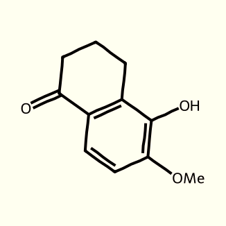 COc1ccc2c(c1O)CCCC2=O